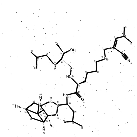 CC(C)C=C(C#N)CNCCCC[C@H](NC[C@H](NCC(C)C)[C@@H](C)O)C(=O)N[C@@H](CC(C)C)B1O[C@@H]2C[C@@H]3C[C@@H](C3(C)C)[C@]2(C)O1